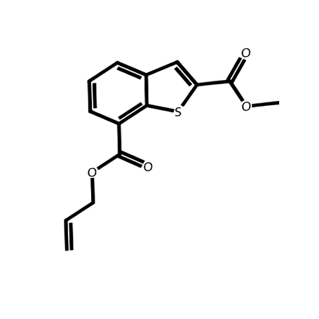 C=CCOC(=O)c1cccc2cc(C(=O)OC)sc12